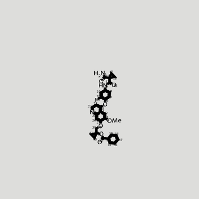 COc1cc2c(Oc3ccc(NC(=O)C4(C(N)=O)CC4)cc3F)ccnc2cc1OCC1(OC(=O)c2ccccc2)CC1